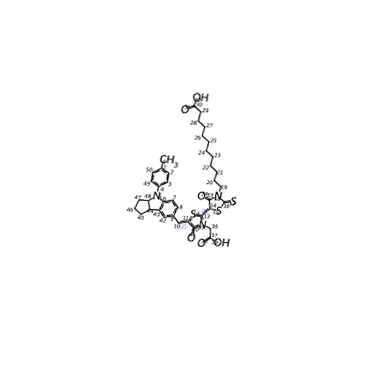 Cc1ccc(N2c3ccc(/C=c4\s/c(=C5/SC(=S)N(CCCCCCCCCCCC(=O)O)C5=O)n(CC(=O)O)c4=O)cc3C3CCCC32)cc1